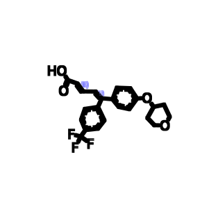 O=C(O)/C=C/C=C(/c1ccc(OC2CCOCC2)cc1)c1ccc(C(F)(F)F)cc1